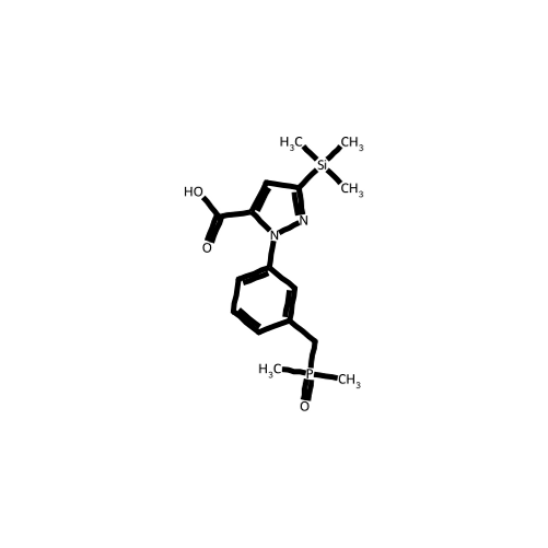 C[Si](C)(C)c1cc(C(=O)O)n(-c2cccc(CP(C)(C)=O)c2)n1